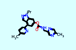 Cc1ccc(-c2cc(OC(=O)NCc3cnc(C)cn3)cc3c2cnn3C(C)C)nc1